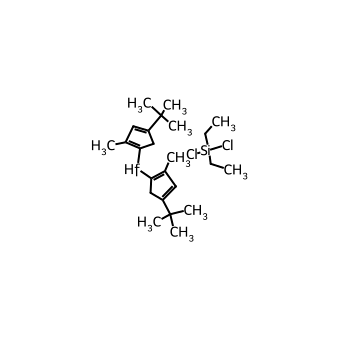 CC1=[C]([Hf][C]2=C(C)C=C(C(C)(C)C)C2)CC(C(C)(C)C)=C1.CC[Si](Cl)(Cl)CC